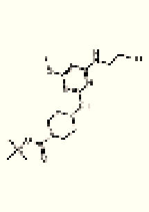 COc1nc(NCCO)nc(NC2CCN(C(=O)OC(C)(C)C)CC2)n1